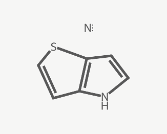 [N].c1cc2sccc2[nH]1